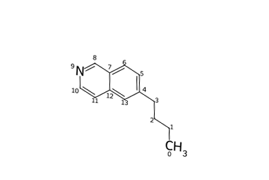 CCCCc1ccc2cnccc2c1